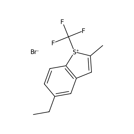 CCc1ccc2c(c1)cc(C)[s+]2C(F)(F)F.[Br-]